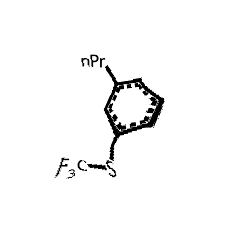 CCCc1cccc(SC(F)(F)F)c1